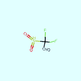 O=CC(F)(F)[SH](=O)=O